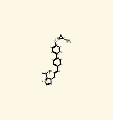 CC(O)c1nccn1C/C=C/c1ccc(-c2ccc(O[C@@H]3C[C@H]3N)cc2)cc1